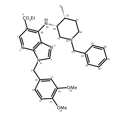 CCOC(=O)c1cnc2c(ncn2Cc2ccc(OC)c(OC)c2)c1N[C@H]1CN(Cc2ccccc2)CC[C@H]1C